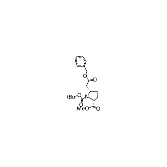 COC(=O)[C@H]1CC[C@@H](CC(=O)OCc2ccccc2)N1C(=O)OC(C)(C)C